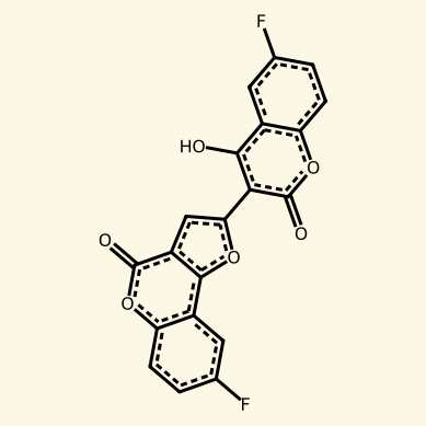 O=c1oc2ccc(F)cc2c(O)c1-c1cc2c(=O)oc3ccc(F)cc3c2o1